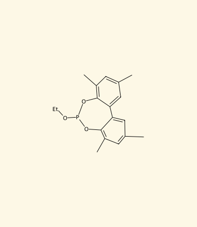 CCOp1oc2c(C)cc(C)cc2c2cc(C)cc(C)c2o1